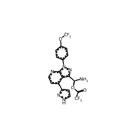 NC(OC(=O)C(F)(F)F)c1nn(-c2ccc(OC(F)(F)F)cc2)c2nccc(-c3cc[nH]n3)c12